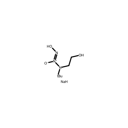 CC(C)(C)N(CCO)[N+]([O-])=NO.[NaH]